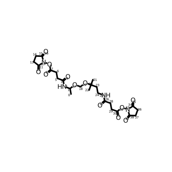 CC(NC(=O)CCC(=O)ON1C(=O)CCC1=O)OCOC(C)(C)CCNC(=O)CCC(=O)ON1C(=O)CCC1=O